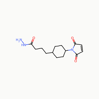 NNC(=O)CCCC1CCC(N2C(=O)C=CC2=O)CC1